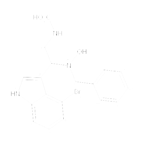 O=C(O)NCC(c1c[nH]c2cccc(Br)c12)N(O)Cc1ccccc1